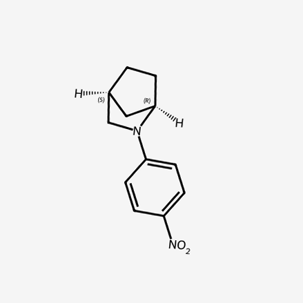 O=[N+]([O-])c1ccc(N2C[C@H]3CC[C@@H]2C3)cc1